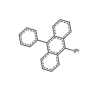 CC(C)c1c2ccccc2c(-c2ccccc2)c2ccccc12